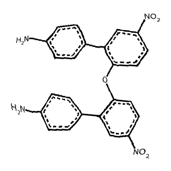 Nc1ccc(-c2cc([N+](=O)[O-])ccc2Oc2ccc([N+](=O)[O-])cc2-c2ccc(N)cc2)cc1